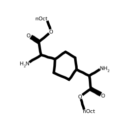 CCCCCCCCOC(=O)C(N)C1CCC(C(N)C(=O)OCCCCCCCC)CC1